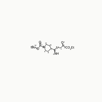 CCOC(=O)C(=O)CSC(=N)C1CCN(C(=O)OC(C)(C)C)CC1